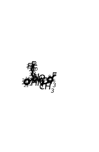 CC(C)(Cc1ccc(F)cc1)NC(=O)N1CC(c2ccccc2)C(CCCC(F)(F)F)=N1